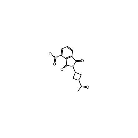 CC(=O)N1CC(N2C(=O)c3cccc([N+](=O)[O-])c3C2=O)C1